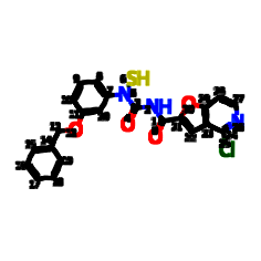 O=C(NC(=O)N(S)c1cccc(OCc2ccccc2)c1)c1cc2c(Cl)nccc2o1